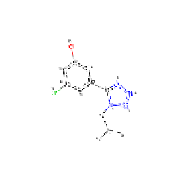 CC(C)Cn1nnnc1-c1cc(O)cc(Cl)c1